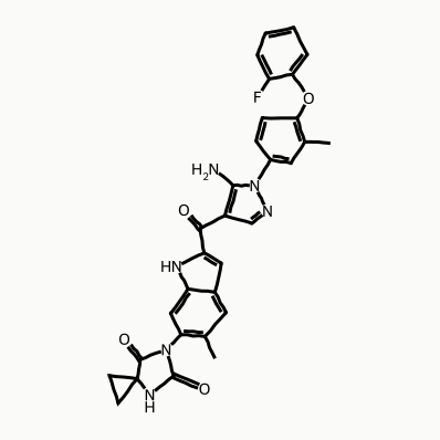 Cc1cc(-n2ncc(C(=O)c3cc4cc(C)c(N5C(=O)NC6(CC6)C5=O)cc4[nH]3)c2N)ccc1Oc1ccccc1F